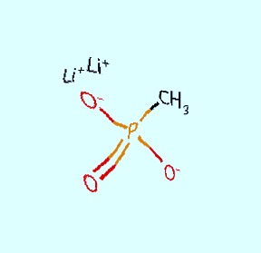 CP(=O)([O-])[O-].[Li+].[Li+]